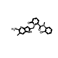 Cc1cc2[nH]c(Cn3c(C(=O)N(C)c4ccccc4Cl)cccc3=O)cc2nc1N